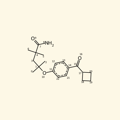 CC(C)(CC(C)(C)C(N)=O)Oc1ccc(C(=O)C2CCC2)cc1